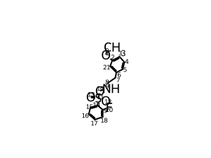 COc1cccc(CCNOS(=O)(=O)c2ccccc2F)c1